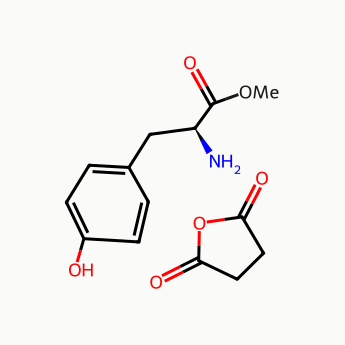 COC(=O)[C@@H](N)Cc1ccc(O)cc1.O=C1CCC(=O)O1